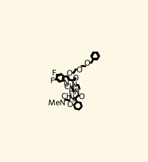 CN[C@@H](C)C(=O)NC(C(=O)N1CCN(C(=O)c2c(OCCOCCOCc3ccccc3)c3cc(F)c(F)cc3n2C)CC1)C1CCCCC1